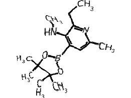 CCc1nc(C)cc(B2OC(C)(C)C(C)(C)O2)c1NC